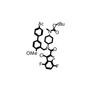 COc1ccc(-c2ccc(C(C)=O)cc2)cc1CN(C(=O)c1sc2c(F)ccc(F)c2c1Cl)[C@H]1CC[C@H](N(C)C(=O)OC(C)(C)C)CC1